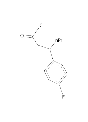 CCCC(CC(=O)Cl)c1ccc(F)cc1